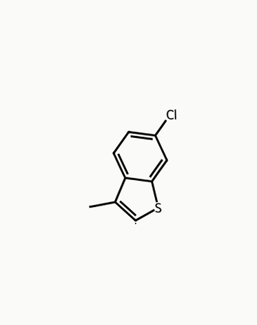 Cc1[c]sc2cc(Cl)ccc12